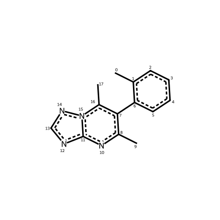 Cc1ccccc1-c1c(C)nc2ncnn2c1C